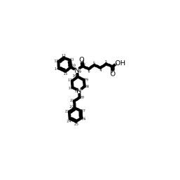 O=C(O)CCCCC(=O)N(c1ccccc1)C1CCN(CCc2ccccc2)CC1